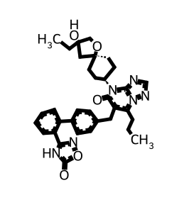 CCCc1c(Cc2ccc(-c3ccccc3-c3noc(=O)[nH]3)cc2)c(=O)n([C@H]2CC[C@]3(CC2)CC(O)(CC)CO3)c2ncnn12